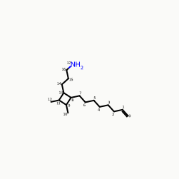 C=CCCCCCCC1C(C)C(C)C1CCCN